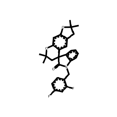 CC1(C)Cc2cc3c(cc2O1)OC(C)(C)CC31C(=O)N(Cc2ccc(F)cc2F)c2ccccc21